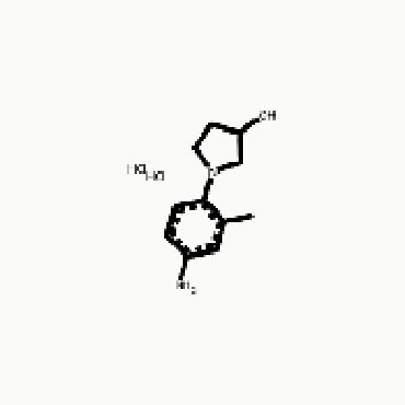 Cc1cc(N)ccc1N1CCC(O)C1.Cl.Cl